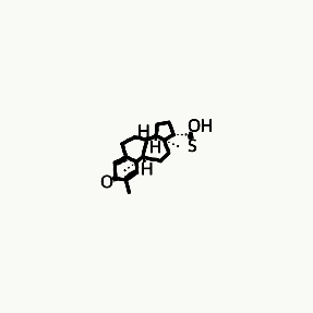 CC1=C[C@@]2(C)C(=CC1=O)CC[C@H]1[C@@H]3CC[C@H](C(O)=S)[C@@]3(C)CC[C@@H]12